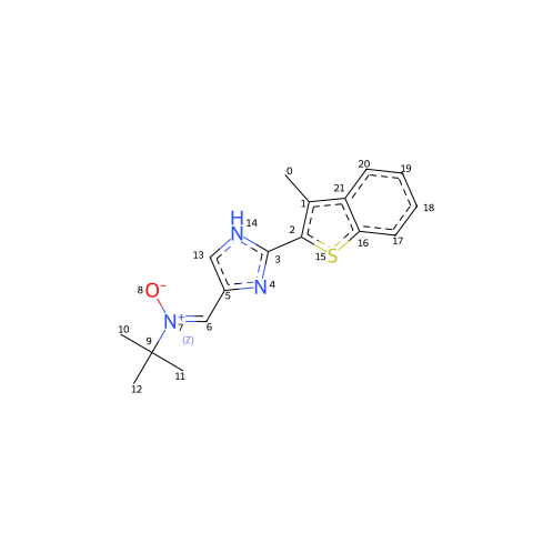 Cc1c(-c2nc(/C=[N+](\[O-])C(C)(C)C)c[nH]2)sc2ccccc12